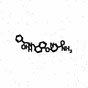 NC(=O)c1ccc(Oc2cccc3c(CNC[C@H](O)c4ccccc4)cccc23)nc1